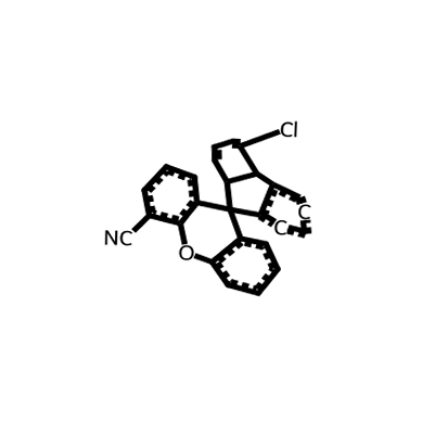 N#Cc1cccc2c1Oc1ccccc1C21c2ccccc2C2C(Cl)=CC=CC21